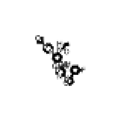 C=CC(=O)Nc1cc(Nc2cc(N3OCCC3c3cccc(F)c3)ncn2)c(OC)cc1N1CCN(C2COC2)CC1